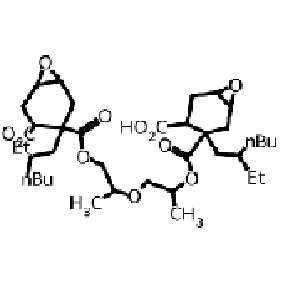 CCCCC(CC)CC1(C(=O)OCC(C)OCC(C)OC(=O)C2(CC(CC)CCCC)CC3OC3CC2C(=O)O)CC2OC2CC1C(=O)O